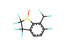 [O-][S+]1c2c(ccc(F)c2C(F)F)C(F)(F)C1(F)F